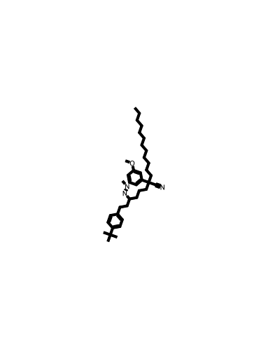 CCCCCCCCCCCCC(C#N)(CCCC(CCc1ccc(C(C)(C)C)cc1)/N=N/C)c1cccc(OC)c1